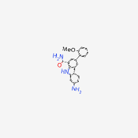 COc1ccccc1-c1cc(C(N)=O)c2[nH]c3cc(N)ccc3c2c1